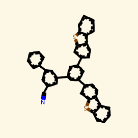 N#Cc1cc(-c2ccccc2)cc(-c2cc(-c3ccc4c(c3)sc3ccccc34)cc(-c3ccc4c(c3)sc3ccccc34)c2)c1